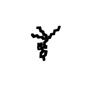 CCCCCC[N+](CCCCCC)(CCCCCC)CCCC(ON)c1ccc(C)cc1